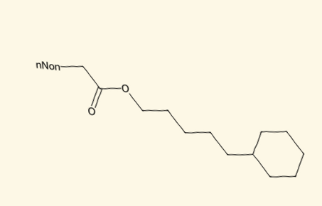 [CH2]CCCCCCCCCC(=O)OCCCCCC1CCCCC1